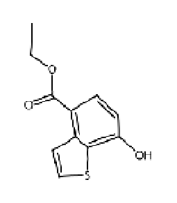 CCOC(=O)c1ccc(O)c2sccc12